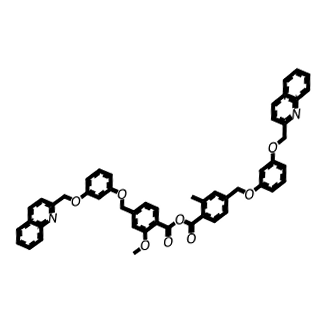 COc1cc(COc2cccc(OCc3ccc4ccccc4n3)c2)ccc1C(=O)OC(=O)c1ccc(COc2cccc(OCc3ccc4ccccc4n3)c2)cc1C